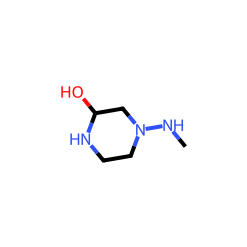 CNN1CCNC(O)C1